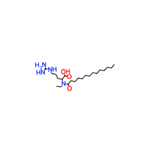 CCCCCCCCCCCCCC(=O)N(CC)C(CCCNC(=N)N)C(=O)O